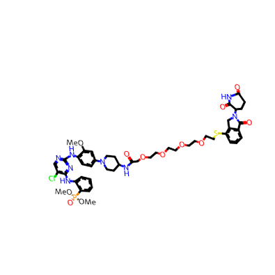 COc1cc(N2CCC(NC(=O)COCCOCCOCCOCCSc3cccc4c3CN(C3CCC(=O)NC3=O)C4=O)CC2)ccc1Nc1ncc(Cl)c(Nc2ccccc2P(=O)(OC)OC)n1